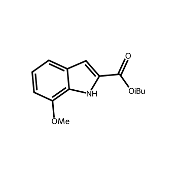 COc1cccc2cc(C(=O)OCC(C)C)[nH]c12